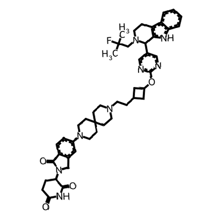 CC(C)(F)CN1CCc2c([nH]c3ccccc23)C1c1cnc(OC2CC(CCN3CCC4(CC3)CCN(c3ccc5c(c3)CN(C3CCC(=O)NC3=O)C5=O)CC4)C2)nc1